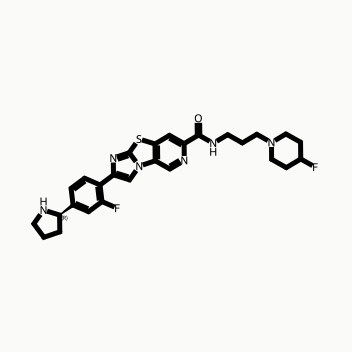 O=C(NCCCN1CCC(F)CC1)c1cc2sc3nc(-c4ccc([C@H]5CCCN5)cc4F)cn3c2cn1